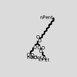 CCCCC/C=C\CC=CCCCCCCCC(=O)OCC(COCCCC(OCCCCCCCC)OCCCCCCCC)COC(=O)OCCCN(CC)CC